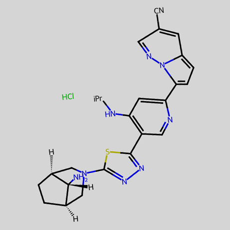 CC(C)Nc1cc(-c2ccc3cc(C#N)cnn23)ncc1-c1nnc(N2C[C@H]3CC[C@@H](C2)[C@@H]3N)s1.Cl